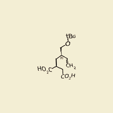 C=C[C@H](COC(C)(C)C)CC(CC(=O)O)C(=O)O